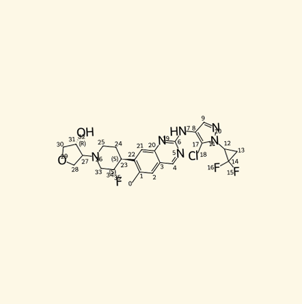 Cc1cc2cnc(Nc3cnn(C4CC4(F)F)c3Cl)nc2cc1[C@@H]1CCN(C2COC[C@@H]2O)C[C@H]1F